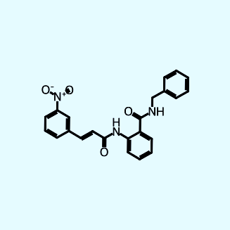 O=C(C=Cc1cccc([N+](=O)[O-])c1)Nc1ccccc1C(=O)NCc1ccccc1